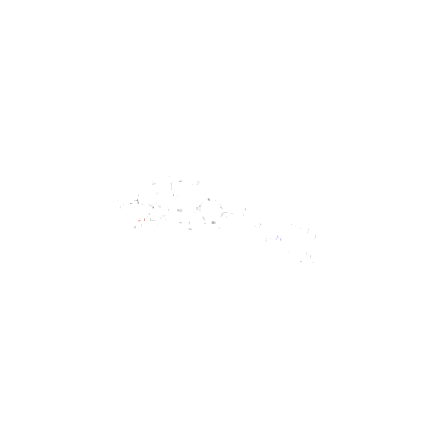 CCN(CC)CCCOc1ccc2c(c1)CC[C@@H]1[C@@H]2CC[C@@]2(C)[C@H]1CC[C@@]2(C)O